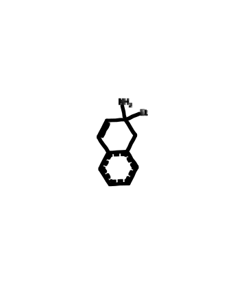 CCC1(N)C=Cc2ccccc2C1